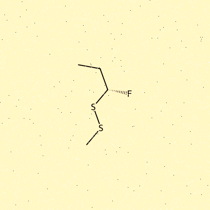 CC[C@H](F)SSC